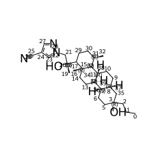 CCC[C@@]1(O)CC[C@H]2[C@H](CC[C@@H]3[C@@H]2CC[C@]2(C)C([C@](C)(O)Cn4cc(C#N)cn4)CC[C@@H](C)[C@@]32C)C1